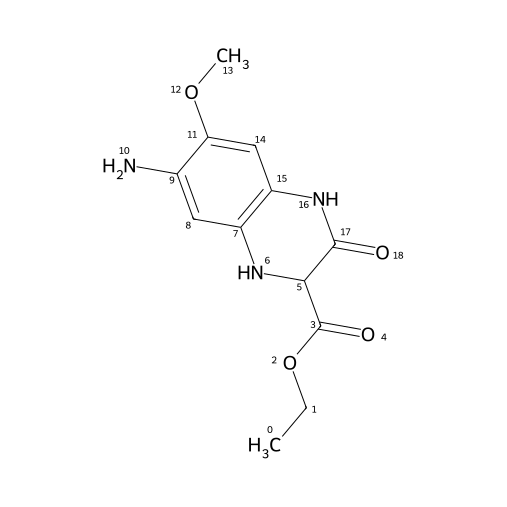 CCOC(=O)C1Nc2cc(N)c(OC)cc2NC1=O